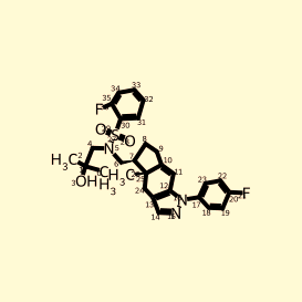 CC(C)(O)CN(C[C@H]1CCC2=Cc3c(cnn3-c3ccc(F)cc3)C[C@@]21C)S(=O)(=O)c1ccccc1F